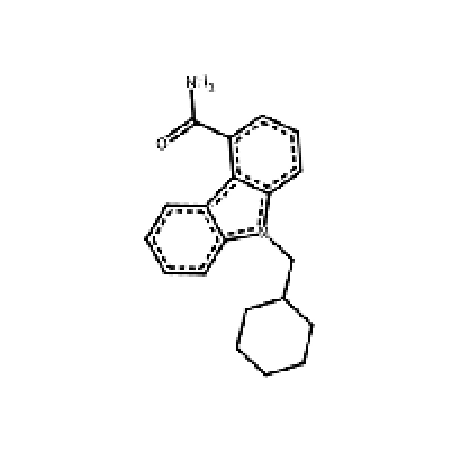 NC(=O)c1cccc2c1c1[c]cccc1n2CC1CCCCC1